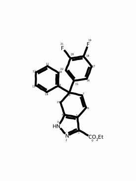 CCOC(=O)c1n[nH]c2c1C=CC(c1ccccc1)(c1ccc(F)c(F)c1)C2